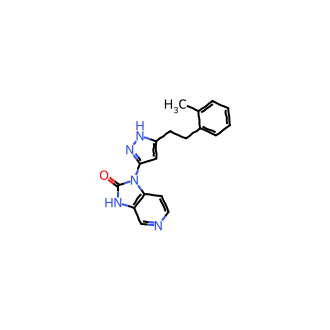 Cc1ccccc1CCc1cc(-n2c(=O)[nH]c3cnccc32)n[nH]1